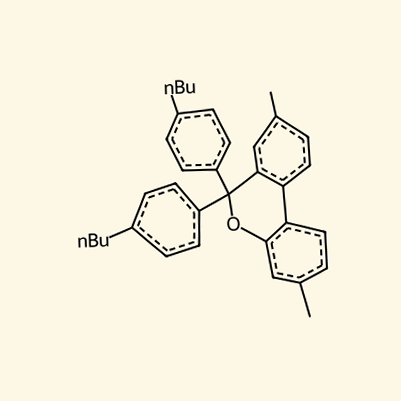 CCCCc1ccc(C2(c3ccc(CCCC)cc3)Oc3cc(C)ccc3-c3ccc(C)cc32)cc1